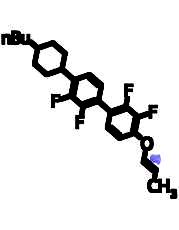 C/C=C/Oc1ccc(-c2ccc(C3CCC(CCCC)CC3)c(F)c2F)c(F)c1F